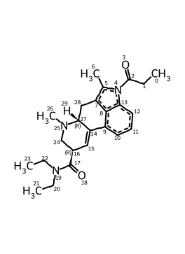 CCC(=O)n1c(C)c2c3c(cccc31)C1=C[C@@H](C(=O)N(CC)CC)CN(C)[C@@H]1C2